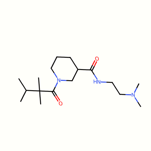 CC(C)C(C)(C)C(=O)N1CCCC(C(=O)NCCN(C)C)C1